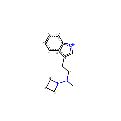 CN(CCc1c[nH]c2ccccc12)N1CCC1